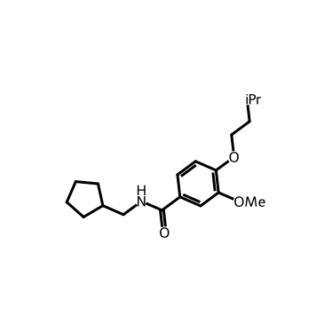 COc1cc(C(=O)NCC2CCCC2)ccc1OCCC(C)C